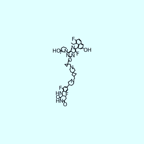 CCc1c(F)ccc2cc(O)cc(-c3ncc4c(N5CCC[C@@](C)(O)C5)nc(OCC5(CN6CCC7(CC6)CC(CN6CCC(c8cc(F)c(NC9CCC(=O)NC9=O)c(F)c8)CC6)C7)CC5)nc4c3F)c12